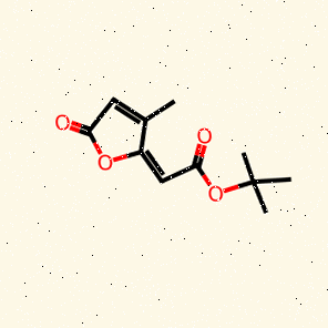 CC1=CC(=O)O/C1=C/C(=O)OC(C)(C)C